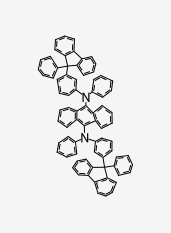 c1ccc(N(c2cccc(C3(c4ccccc4)c4ccccc4-c4ccccc43)c2)c2c3ccccc3c(N(c3ccccc3)c3cccc(C4(c5ccccc5)c5ccccc5-c5ccccc54)c3)c3ccccc23)cc1